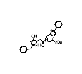 CCCCC1CN(C(=O)Cc2[nH]c(Cc3ccccc3)nc2C#N)Cc2nc(-c3ccccc3)cn21